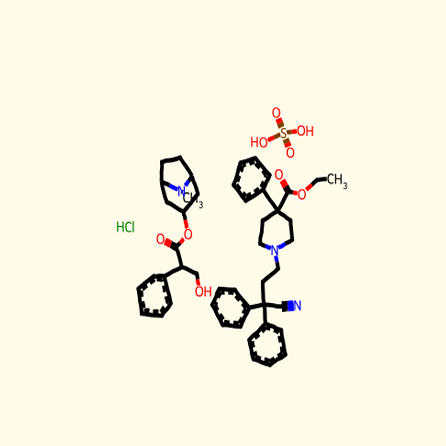 CCOC(=O)C1(c2ccccc2)CCN(CCC(C#N)(c2ccccc2)c2ccccc2)CC1.CN1C2CCC1CC(OC(=O)C(CO)c1ccccc1)C2.Cl.O=S(=O)(O)O